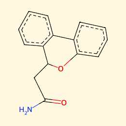 NC(=O)CC1Oc2ccccc2-c2ccccc21